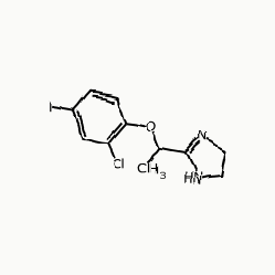 CC(Oc1ccc(I)cc1Cl)C1=NCCN1